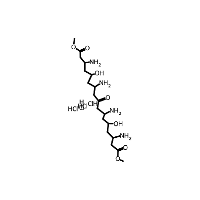 COC(=O)CC(N)CC(O)CC(N)CC(=O)CC(N)CC(O)CC(N)CC(=O)OC.Cl.Cl.Cl.Cl